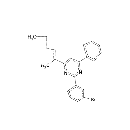 CCC/C=C(\C)c1cc(-c2ccccc2)nc(-c2cccc(Br)c2)n1